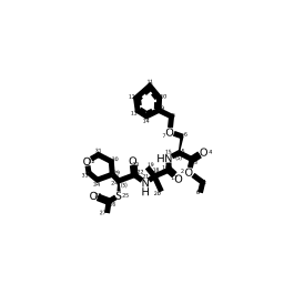 CCOC(=O)[C@H](COCc1ccccc1)NC(=O)C(C)(C)NC(=O)[C@@H](SC(C)=O)C1CCOCC1